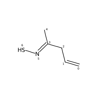 C=CCC(C)=NS